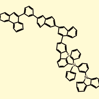 c1ccc([Si](c2ccccc2)(c2cccc(-n3c4ccccc4c4ccccc43)c2)c2cccc3c2sc2cc(-c4cc(-c5ccc6cc(-c7cccc(-c8cc9ccccc9c9ccccc89)c7)ccc6c5)cc5ccccc45)ccc23)cc1